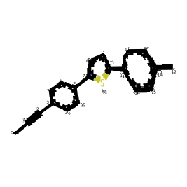 CC#Cc1ccc(-c2ccc(-c3ccc(C)cc3)s2)cc1